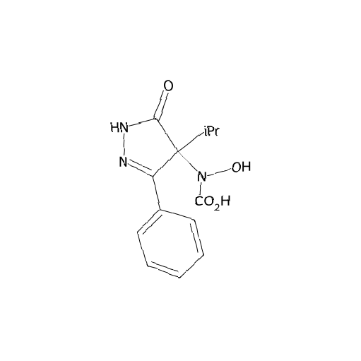 CC(C)C1(N(O)C(=O)O)C(=O)NN=C1c1ccccc1